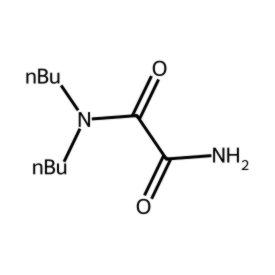 CCCCN(CCCC)C(=O)C(N)=O